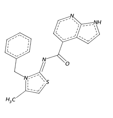 Cc1cs/c(=N\C(=O)c2ccnc3[nH]ccc23)n1Cc1ccccc1